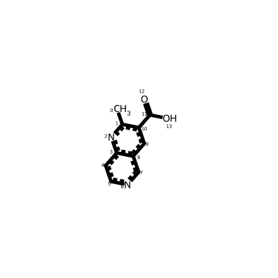 Cc1nc2ccncc2cc1C(=O)O